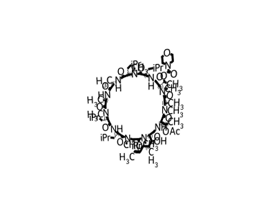 CC=CC[C@@H](C)[C@@H](O)[C@H]1C(=O)N[C@@H]([C@@H](C)OC(C)=O)C(=O)N(C)[C@H](C)C(=O)N(C)[C@@H](C(C)OC(=O)N2CCOCC2)C(=O)N[C@@H](CC(C)C)C(=O)N(C)[C@@H](CC(C)C)C(=O)N[C@@H](C)C(=O)N[C@H](C)C(=O)N(C)[C@@H](CC(C)C)C(=O)N[C@@H](CC(C)C)C(=O)N(C)[C@@H](C(C)C)C(=O)N1C